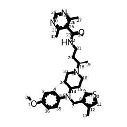 COc1ccc(N(Cc2cscc2C)C2CCN([C@H](C)CCNC(=O)c3c(C)ncnc3C)CC2)cc1